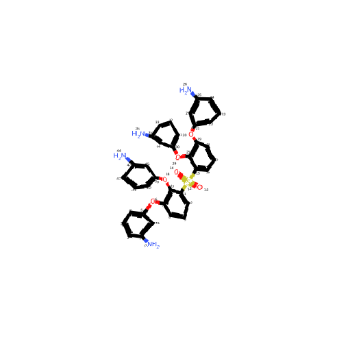 Nc1cccc(Oc2cccc(S(=O)(=O)c3cccc(Oc4cccc(N)c4)c3Oc3cccc(N)c3)c2Oc2cccc(N)c2)c1